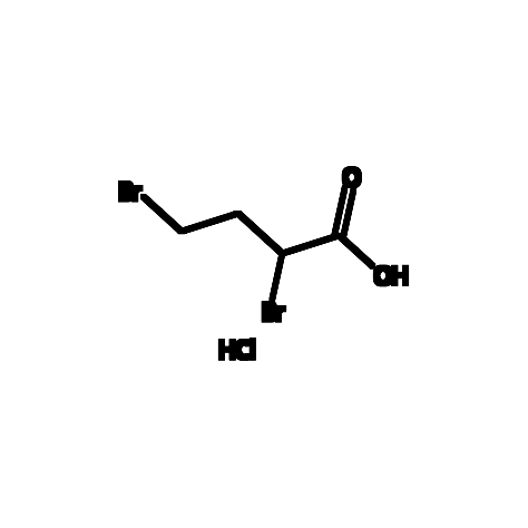 Cl.O=C(O)C(Br)CCBr